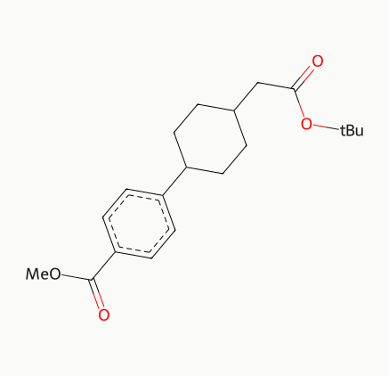 COC(=O)c1ccc(C2CCC(CC(=O)OC(C)(C)C)CC2)cc1